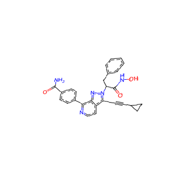 NC(=O)c1ccc(-c2nccc3c(C#CC4CC4)n(C(Cc4ccccc4)C(=O)NO)nc23)cc1